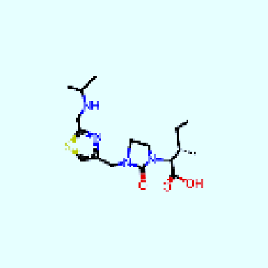 CC[C@H](C)[C@@H](C(=O)O)N1CCN(Cc2csc(CNC(C)C)n2)C1=O